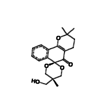 CC1(C)CCC2=C(O1)c1ccccc1[C@]1(OC[C@@](C)(CO)CO1)C2=O